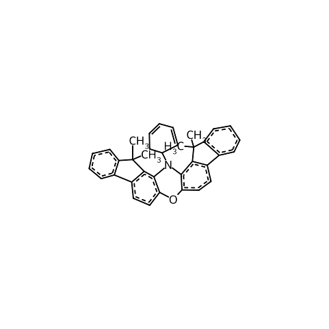 CC1(C)c2ccccc2-c2ccc3c(c21)N(C1C=CC=CC1)c1c(ccc2c1C(C)(C)c1ccccc1-2)O3